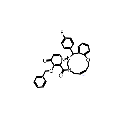 O=C1c2c(OCc3ccccc3)c(=O)ccn2N2CN1C/C=C\COc1ccccc1C2c1ccc(F)cc1